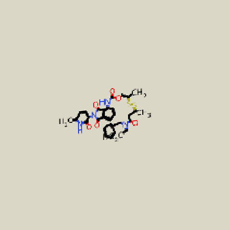 C=C1CCC(N2C(=O)c3cccc(NC(=O)OCC(C)SSC(C)CC(=O)N(CC(=O)O)Cc4ccccc4)c3C2=O)C(=O)N1